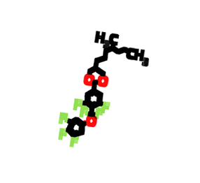 CCCC(C)CCCC1COC(c2cc(F)c(C(F)(F)Oc3cc(F)c(F)c(F)c3)c(F)c2)OC1